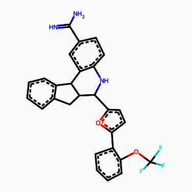 N=C(N)c1ccc2c(c1)C1c3ccccc3CC1C(c1ccc(-c3ccccc3OC(F)(F)F)o1)N2